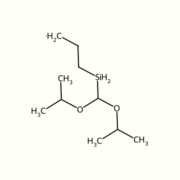 [CH2]CC[SiH2]C(OC(C)C)OC(C)C